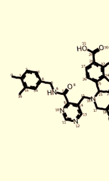 Cc1ccc(CNC(=O)c2ncncc2CN(CC(=O)O)C2CCc3c2ccc(C(=O)O)c3C)cc1C